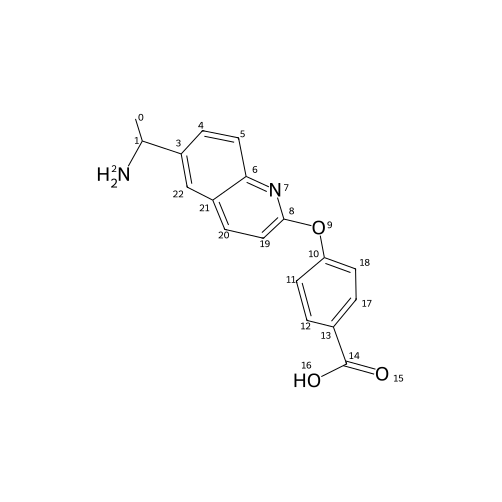 CC(N)c1ccc2nc(Oc3ccc(C(=O)O)cc3)ccc2c1